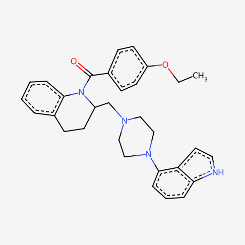 CCOc1ccc(C(=O)N2c3ccccc3CCC2CN2CCN(c3cccc4[nH]ccc34)CC2)cc1